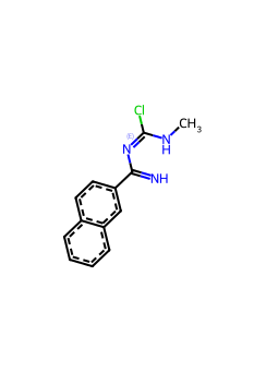 CN/C(Cl)=N\C(=N)c1ccc2ccccc2c1